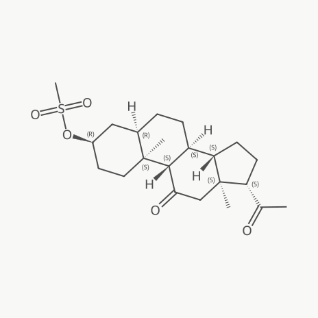 CC(=O)[C@H]1CC[C@H]2[C@@H]3CC[C@@H]4C[C@H](OS(C)(=O)=O)CC[C@]4(C)[C@H]3C(=O)C[C@]12C